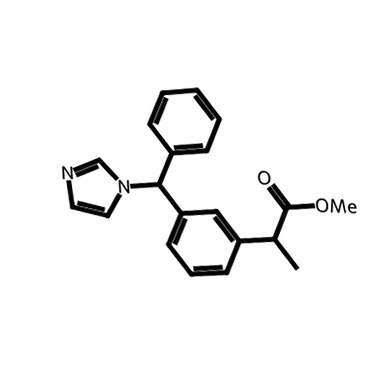 COC(=O)C(C)c1cccc(C(c2ccccc2)n2ccnc2)c1